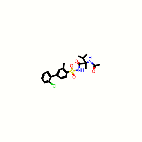 CC(=O)NC(C)(C(=O)NS(=O)(=O)c1ccc(-c2ccccc2Cl)cc1C)C(C)C